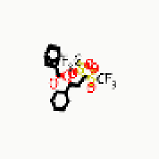 O=C(OC(CC(S(=O)(=O)C(F)(F)F)S(=O)(=O)C(F)(F)F)C1CCCCC1)C1CC2C=CC1C2